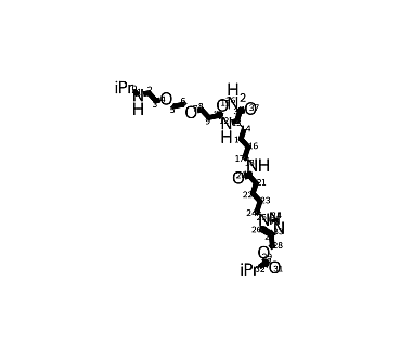 CC(C)NCCOCCOCCC(=O)N[C@@H](CCCCNC(=O)CCCCn1cc(COC(=O)C(C)C)nn1)C(N)=O